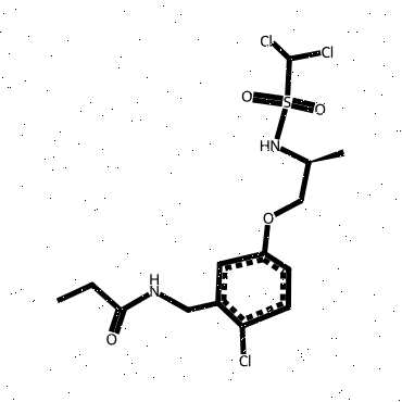 CCC(=O)NCc1cc(OC[C@H](C)NS(=O)(=O)C(Cl)Cl)ccc1Cl